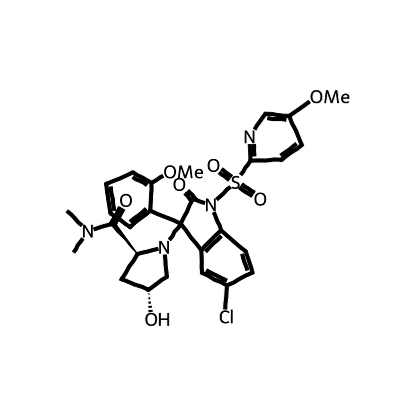 COc1ccc(S(=O)(=O)N2C(=O)C(c3ccccc3OC)(N3C[C@H](O)C[C@H]3C(=O)N(C)C)c3cc(Cl)ccc32)nc1